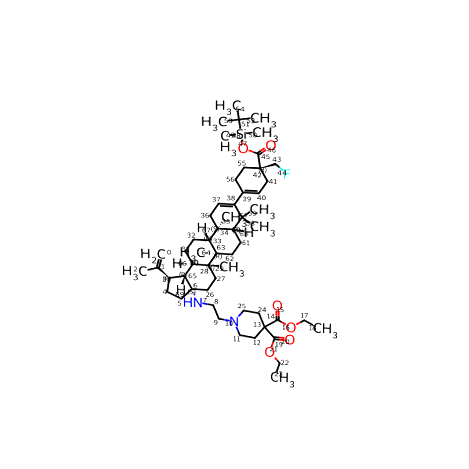 C=C(C)[C@@H]1CC[C@]2(NCCN3CCC(C(=O)OCC)(C(=O)OCC)CC3)CC[C@]3(C)[C@H](CC[C@@H]4[C@@]5(C)CC=C(C6=CC[C@@](CF)(C(=O)O[Si](C)(C)C(C)(C)C)CC6)C(C)(C)[C@@H]5CC[C@]43C)[C@@H]12